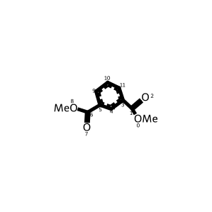 COC(=O)c1[c]c(C(=O)OC)ccc1